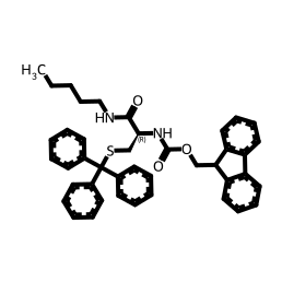 CCCCCNC(=O)[C@H](CSC(c1ccccc1)(c1ccccc1)c1ccccc1)NC(=O)OCC1c2ccccc2-c2ccccc21